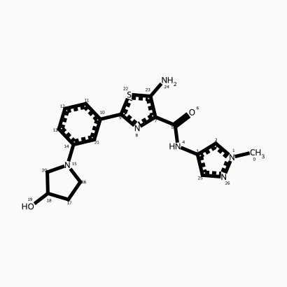 Cn1cc(NC(=O)c2nc(-c3cccc(N4CCC(O)C4)c3)sc2N)cn1